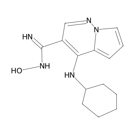 N=C(NO)c1cnn2cccc2c1NC1CCCCC1